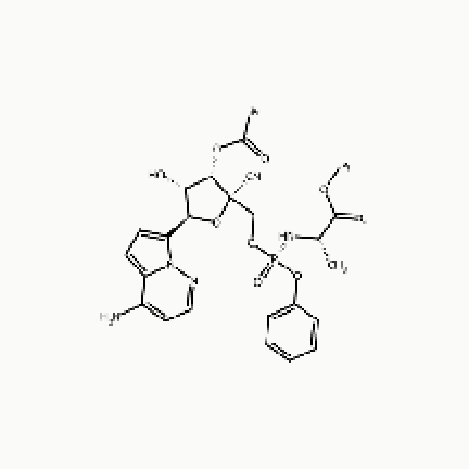 CC(C)OC(=O)[C@H](C)N[P@](=O)(OC[C@@]1(C#N)O[C@@H](c2ccc3c(N)ccnn23)[C@H](O)[C@@H]1OC(=O)C(C)C)Oc1ccccc1